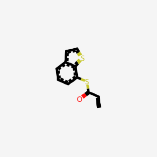 C=CC(=O)Sc1cccc2ccsc12